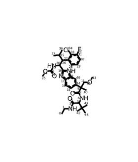 CCNC(=O)C(NC(=O)C(C)(COC)c1ccc2nc(C(NC(=O)OC)C(c3cccc(F)c3Cl)C(C)C)[nH]c2c1)C(C)(C)C